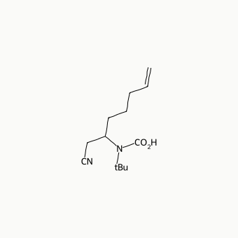 C=CCCCC(CC#N)N(C(=O)O)C(C)(C)C